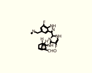 C=NCc1cc(F)c2[nH]nc(C3N=C(N[C@@H]4C(C=O)C5=CC[C@@H]4CC5)C(F)=CN3)c2c1